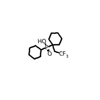 O=P(O)(C1CCCCC1)C1(CC(F)(F)F)CCCCC1